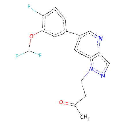 CC(=O)CCn1ncc2ncc(-c3ccc(F)c(OC(F)F)c3)cc21